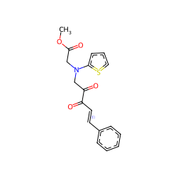 COC(=O)CN(CC(=O)C(=O)/C=C/c1ccccc1)c1cccs1